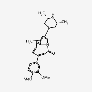 COc1ccc(C2=C\C(=O)N3C=C(N4C[C@@H](C)N[C@@H](C)C4)C=C(C)\C3=C/C=C/2)cc1OC